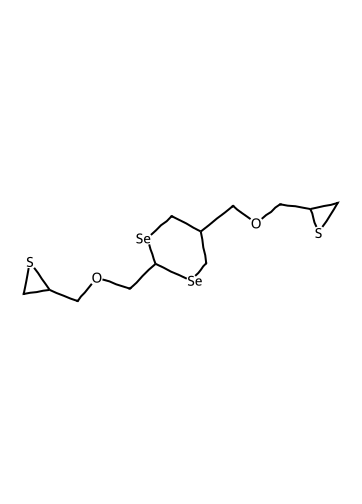 C(OCC1CS1)C1C[Se]C(COCC2CS2)[Se]C1